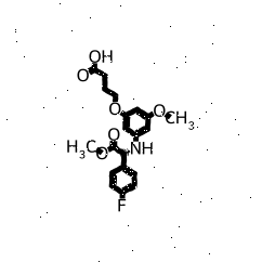 COC(=O)[C@H](Nc1cc(OC)cc(OCCCC(=O)O)c1)c1ccc(F)cc1